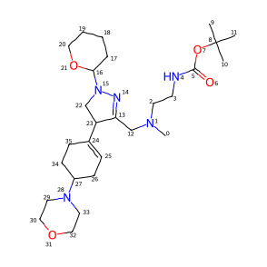 CN(CCNC(=O)OC(C)(C)C)CC1=NN(C2CCCCO2)CC1C1=CCC(N2CCOCC2)CC1